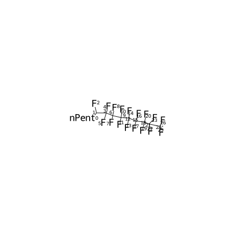 CCCCCC(F)C(F)(F)C(F)(F)C(F)(F)C(F)(F)C(F)(F)C(F)(F)C(F)(F)[C](F)F